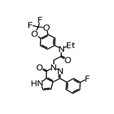 CCN(C(=O)Cn1nc(-c2cccc(F)c2)c2cc[nH]c2c1=O)c1ccc2c(c1)OC(F)(F)O2